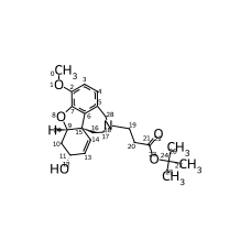 COc1ccc2c3c1O[C@H]1C[C@@H](O)C=C[C@@]31CCN(CCC(=O)OC(C)(C)C)C2